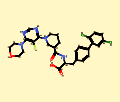 O=C(N[C@@H](Cc1ccc(-c2cc(Cl)ccc2Cl)cc1)C(=O)O)C1CCCN(c2ncnc(N3CCOCC3)c2F)C1